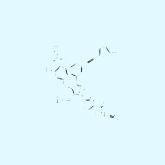 Cc1ccc(C#Cc2cccc(-c3nn(-c4nc(C(=O)NC#N)cs4)c(CC4CC4)c3Cc3ccc(S(N)(=O)=O)c(F)c3)c2)s1